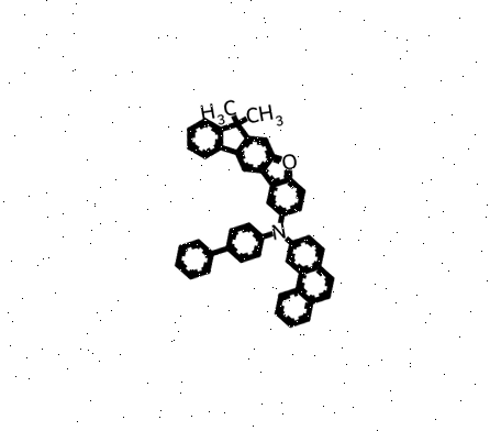 CC1(C)c2ccccc2-c2cc3c(cc21)oc1ccc(N(c2ccc(-c4ccccc4)cc2)c2ccc4ccc5ccccc5c4c2)cc13